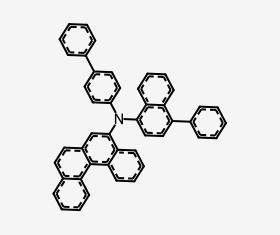 c1ccc(-c2ccc(N(c3ccc(-c4ccccc4)c4ccccc34)c3cc4ccc5ccccc5c4c4ccccc34)cc2)cc1